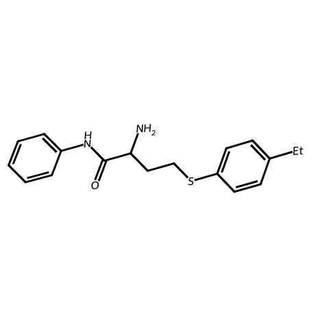 CCc1ccc(SCCC(N)C(=O)Nc2ccccc2)cc1